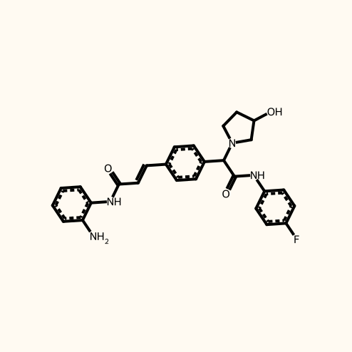 Nc1ccccc1NC(=O)C=Cc1ccc(C(C(=O)Nc2ccc(F)cc2)N2CCC(O)C2)cc1